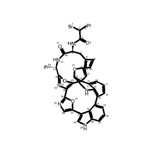 CC(C)C(Br)C(=O)N[C@H]1Cc2ccc3c(c2)C24c5cccc(c5NC2O3)-c2cccc3[nH]cc(c23)-c2cnc(o2)-c2nc(oc24)[C@H](C(C)C)NC1=O